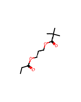 CCC(=O)OC[CH]COC(=O)C(C)(C)C